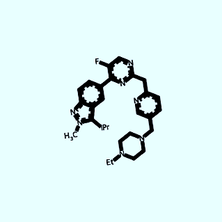 CCN1CCN(Cc2ccc(Cc3ncc(F)c(-c4ccc5nn(C)c(C(C)C)c5c4)n3)nc2)CC1